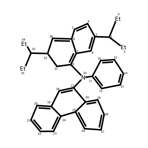 CCC(CC)c1ccc2c(c1)=C(N(c1ccccc1)c1cc3ccccc3c3ccccc13)CC(C(CC)CC)C=2